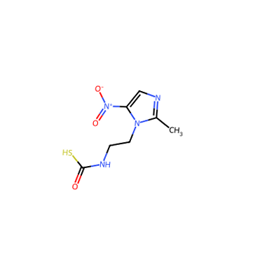 Cc1ncc([N+](=O)[O-])n1CCNC(=O)S